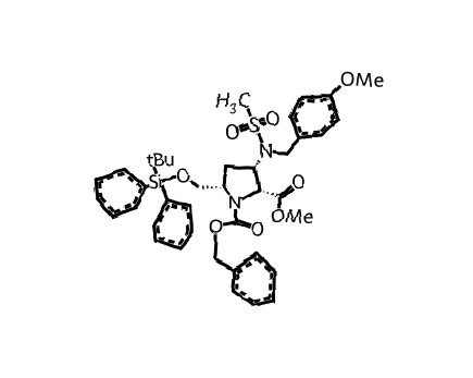 COC(=O)[C@H]1[C@@H](N(Cc2ccc(OC)cc2)S(C)(=O)=O)C[C@@H](CO[Si](c2ccccc2)(c2ccccc2)C(C)(C)C)N1C(=O)OCc1ccccc1